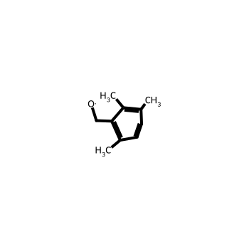 Cc1ccc(C)c(C[O])c1C